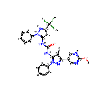 COc1ncc(-c2nn(-c3ccccc3)c(NC(=O)Nc3cc(C(F)(F)F)nn3-c3ccccc3)c2C)cn1